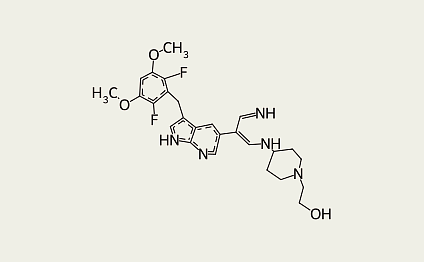 COc1cc(OC)c(F)c(Cc2c[nH]c3ncc(/C(C=N)=C/NC4CCN(CCO)CC4)cc23)c1F